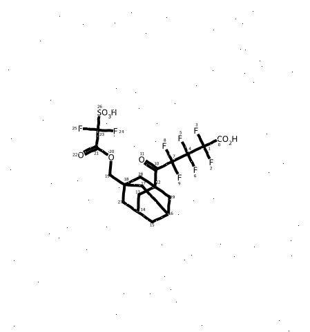 O=C(O)C(F)(F)C(F)(F)C(F)(F)C(=O)C12CC3CC(CC(COC(=O)C(F)(F)S(=O)(=O)O)(C3)C1)C2